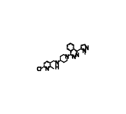 Cc1nc(Cl)ccc1CNC1CCN(c2nnc(-c3ccnn3C)c3ccccc23)CC1